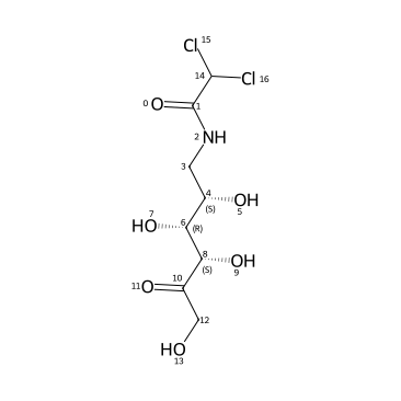 O=C(NC[C@H](O)[C@@H](O)[C@H](O)C(=O)CO)C(Cl)Cl